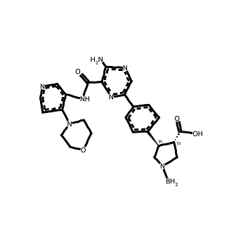 BN1C[C@@H](C(=O)O)[C@H](c2ccc(-c3cnc(N)c(C(=O)Nc4cnccc4N4CCOCC4)n3)cc2)C1